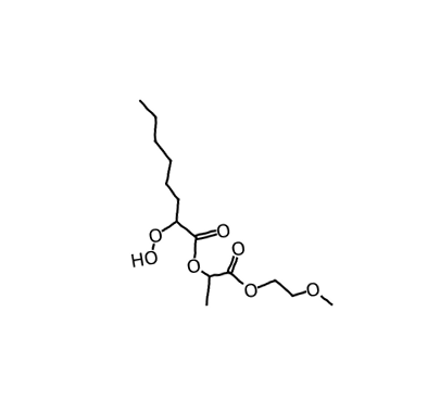 CCCCCCC(OO)C(=O)OC(C)C(=O)OCCOC